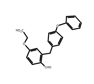 O=Cc1ccc(OCC(=O)O)cc1Cc1ccc(Oc2ccccc2)cc1